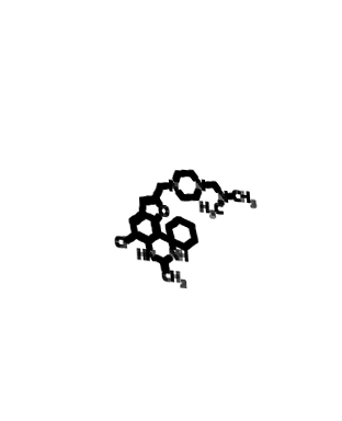 C=C1Nc2c(Cl)cc3cc(CN4CCN(CN(C)C)CC4)oc3c2C2(CCCCC2)N1